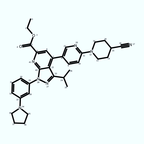 CCOC(=O)c1cc(-c2ccc(N3CCC(C#N)CC3)nc2)c2c(C(C)C)nn(-c3cccc(N4CCCC4)c3)c2n1